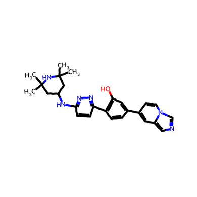 CC1(C)CC(Nc2ccc(-c3ccc(-c4ccn5cncc5c4)cc3O)nn2)CC(C)(C)N1